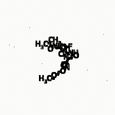 CCOCCOc1ccc(-c2cc(=O)[nH]c(-c3c(F)ccc(CNC(=O)C(C)C)c3Cl)n2)cn1